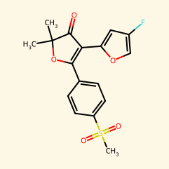 CC1(C)OC(c2ccc(S(C)(=O)=O)cc2)=C(c2cc(F)co2)C1=O